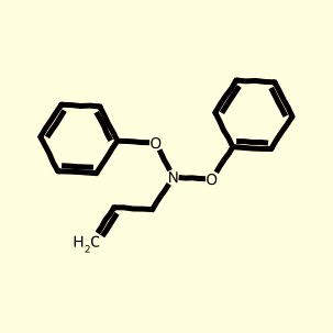 C=CCN(Oc1ccccc1)Oc1ccccc1